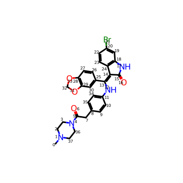 CN1CCN(C(=O)Cc2ccc(N/C(=C3\C(=O)Nc4cc(Br)ccc43)c3ccc4c(c3)OCO4)cc2)CC1